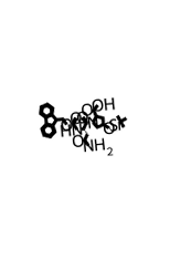 CC(C)(C)[Si](C)(C)OC1CC(C(=O)O)N(C(=O)[C@H](CC(N)=O)NC(=O)OCC2c3ccccc3-c3ccccc32)C1